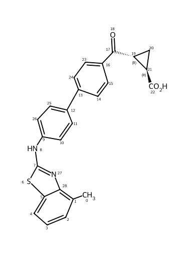 Cc1cccc2sc(Nc3ccc(-c4ccc(C(=O)[C@@H]5C[C@H]5C(=O)O)cc4)cc3)nc12